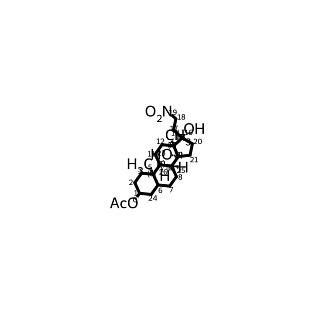 CC(=O)OC1CC[C@@]2(C)C(CC[C@@H]3[C@@H]2CC[C@]2(C)[C@@](O)(CC[N+](=O)[O-])CC[C@@]32O)C1